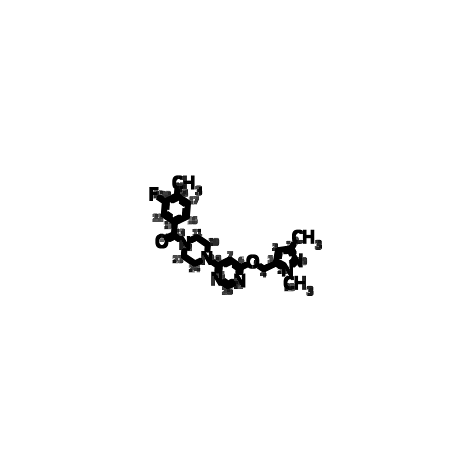 Cc1cc(COc2cc(N3CCN(C(=O)c4ccc(C)c(F)c4)CC3)ncn2)n(C)n1